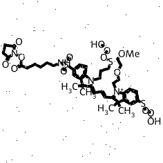 COCCOCC[N+]1=C(C=CC=C2N(CCCSOOO)c3ccc(S(=O)(=O)NCCCCCC(=O)ON4C(=O)CCC4=O)cc3C2(C)C)C(C)(C)c2cc(SOOO)ccc21